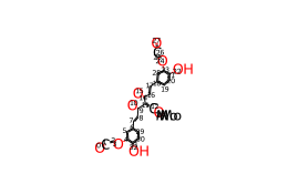 O=C=COc1cc(C=CC(=O)C(=C=O)C(=O)C=Cc2ccc(O)c(OC=C=O)c2)ccc1O.[Mo].[Mo]